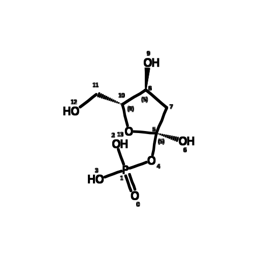 O=P(O)(O)O[C@]1(O)C[C@H](O)[C@@H](CO)O1